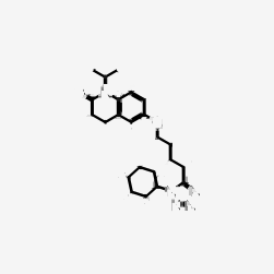 CC(C)N1C(=O)CCc2cc(OCCCCc3nnnn3C3CCCCC3)ccc21